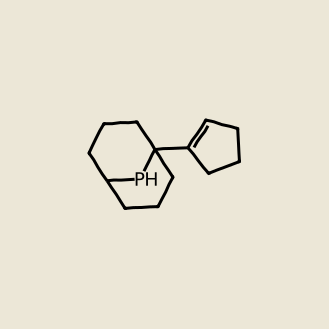 C1=C(C23CCCC(CCC2)P3)CCC1